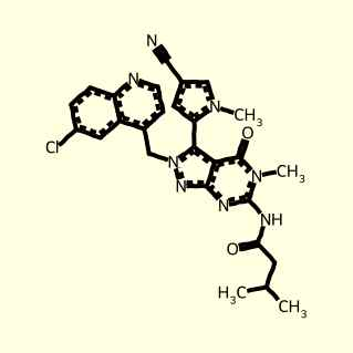 CC(C)CC(=O)Nc1nc2nn(Cc3ccnc4ccc(Cl)cc34)c(-c3cc(C#N)cn3C)c2c(=O)n1C